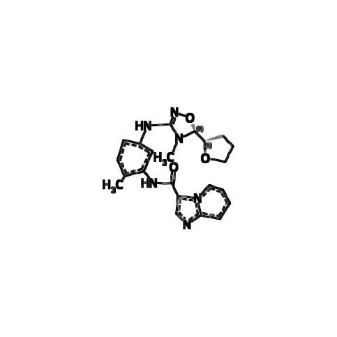 Cc1ccc(NC2=NO[C@H]([C@@H]3CCCO3)N2C)cc1NC(=O)c1cnc2ccccn12